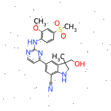 COc1cc(S(C)(=O)=O)ccc1Nc1nccc(-c2cc(C#N)c3c(c2)C(C)(CO)CN3)n1